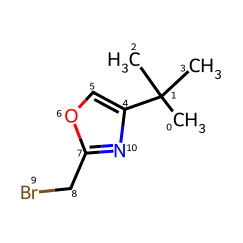 CC(C)(C)c1coc(CBr)n1